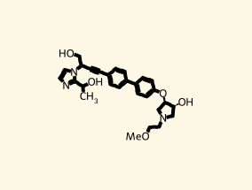 COCCN1C[C@@H](O)[C@H](Oc2ccc(-c3ccc(C#CC(CO)n4ccnc4C(C)O)cc3)cc2)C1